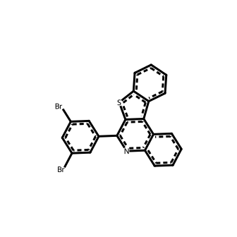 Brc1cc(Br)cc(-c2nc3ccccc3c3c2sc2ccccc23)c1